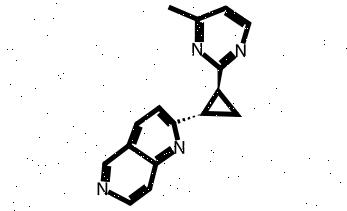 Cc1ccnc([C@H]2C[C@@H]2c2ccc3cnccc3n2)n1